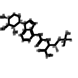 COC(=O)[C@@H](NC(=O)Nc1ncnc2c1ncn2[C@H]1OC[C@@H](O)[C@H](O)[C@H]1O)[C@@H](C)O[Si](C)(C)C(C)(C)C